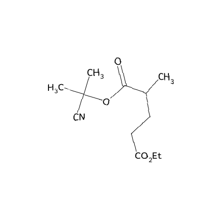 CCOC(=O)CCC(C)C(=O)OC(C)(C)C#N